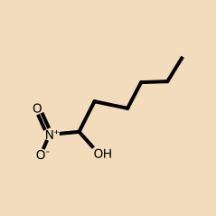 CCCCCC(O)[N+](=O)[O-]